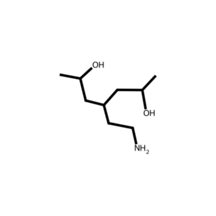 CC(O)CC(CCN)CC(C)O